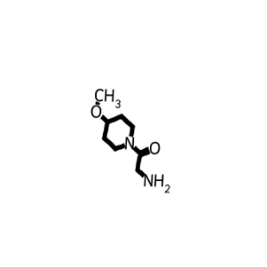 COC1CCN(C(=O)CN)CC1